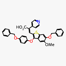 COc1cc2c(Oc3ccc(OCc4ccccc4)cc3)c(/C=C(/C(=O)O)c3ccncc3)sc2cc1OCc1ccccc1